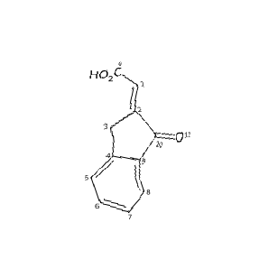 O=C(O)/C=C1\Cc2ccccc2C1=O